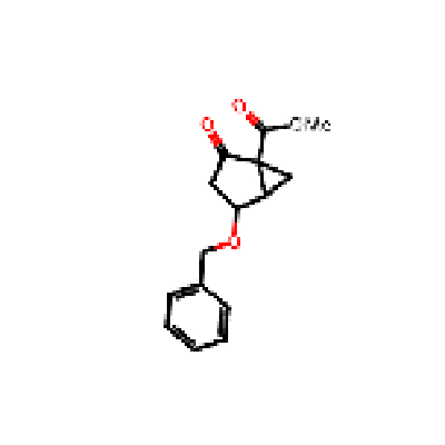 COC(=O)C12CC1C(OCc1ccccc1)CC2=O